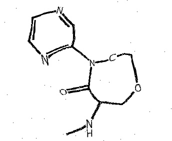 CNC1COCCN(c2cnccn2)C1=O